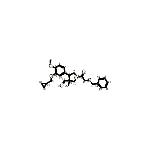 COc1ccc(C2CN(C(=O)COCc3ccccc3)CC2(C)C=O)cc1OCC1CC1